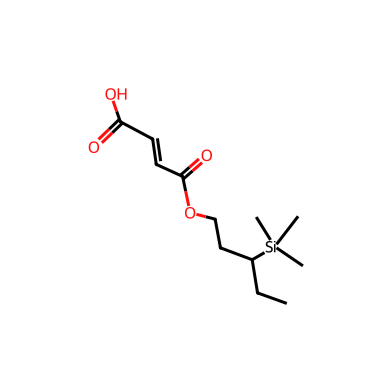 CCC(CCOC(=O)C=CC(=O)O)[Si](C)(C)C